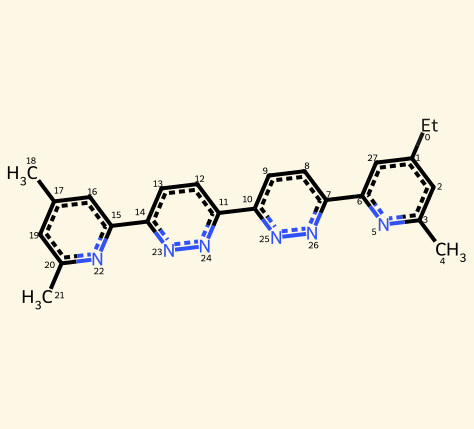 CCc1cc(C)nc(-c2ccc(-c3ccc(-c4cc(C)cc(C)n4)nn3)nn2)c1